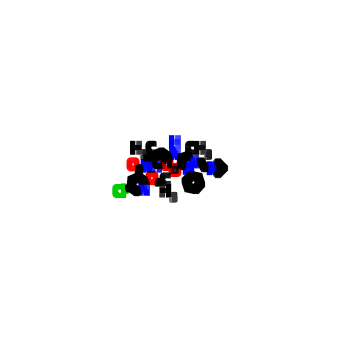 CCOc1ncc(Cl)cc1C(=O)NCC(C)(C)CC(=O)Nc1c(C)n(CCN2CCC2)n(-c2ccccc2)c1=O